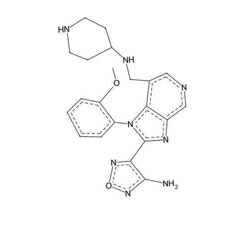 COc1ccccc1-n1c(-c2nonc2N)nc2cncc(CNC3CCNCC3)c21